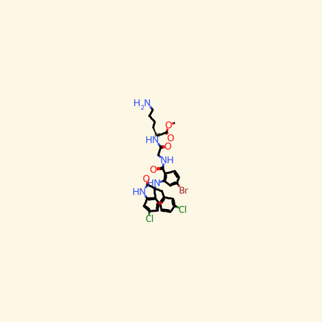 COC(=O)[C@H](CCCCN)NC(=O)CNC(=O)c1ccc(Br)cc1NC1(Cc2cccc(Cl)c2)C(=O)Nc2cc(Cl)ccc21